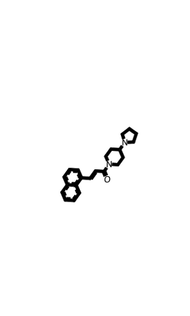 O=C(C=Cc1cccc2ccccc12)N1CCC(N2CCCC2)CC1